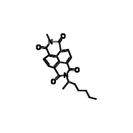 CCCCCC(C)N1C(=O)c2ccc3c4c(ccc(c24)C1=O)C(=O)N(C)C3=O